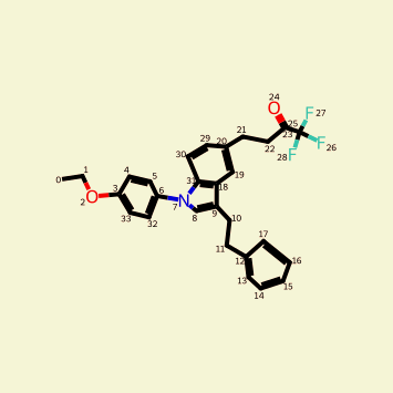 CCOc1ccc(-n2cc(CCc3ccccc3)c3cc(CCC(=O)C(F)(F)F)ccc32)cc1